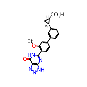 CCOc1cc(-c2cccc([C@H]3C[C@H]3C(=O)O)c2)ccc1-c1nc2[nH]nnc2c(=O)[nH]1